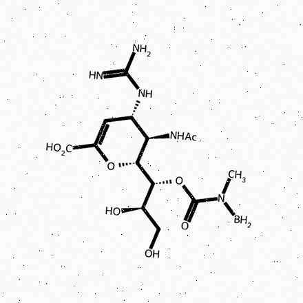 BN(C)C(=O)O[C@@H]([C@@H]1OC(C(=O)O)=C[C@H](NC(=N)N)[C@H]1NC(C)=O)[C@H](O)CO